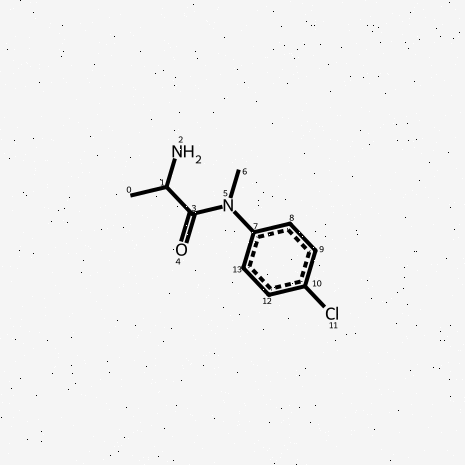 CC(N)C(=O)N(C)c1ccc(Cl)cc1